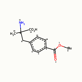 CC(C)(C)OC(=O)c1ccc(CC(C)(N)C(=O)O)cc1